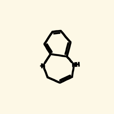 C1=CNc2ccccc2[N]C1